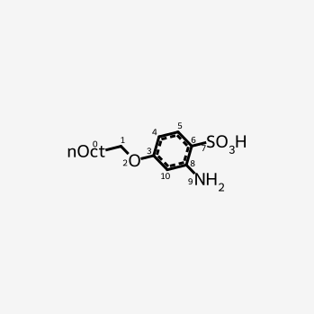 CCCCCCCCCOc1ccc(S(=O)(=O)O)c(N)c1